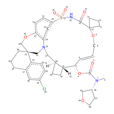 CN(C(=O)O[C@H]1/C=C/COC2(CCC2)C(=O)NS(=O)(=O)c2ccc3c(c2)N(C[C@@H]2CC[C@H]21)C[C@@]1(CCCc2cc(Cl)ccc21)CO3)[C@@H]1CCOC1